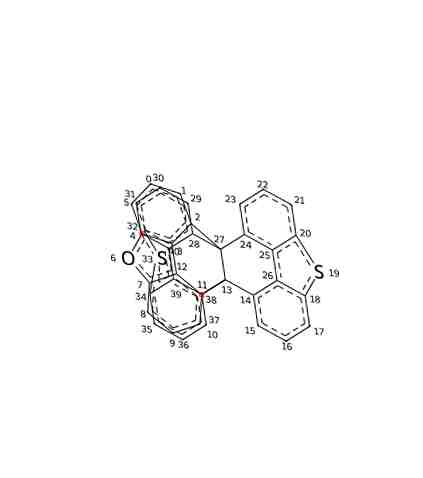 c1cc2c3c(c1)oc1cccc(c13)C13c4cccc5sc6cccc(c6c45)C21c1cccc2sc4cccc3c4c12